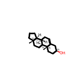 C[C@@]12CCC[C@H]1[C@@H]1CC=C3C[C@@H](O)CC[C@]3(C)[C@H]1CC2